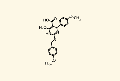 COc1ccc(CSC2=NC(c3ccc(OC)cc3)C(C(=O)O)=C(C)N2)cc1